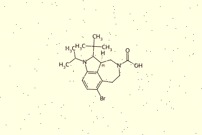 CC(C)N1c2ccc(Br)c3c2[C@H](CN(C(=O)O)CC3)C1C(C)(C)C